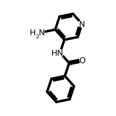 Nc1ccncc1NC(=O)c1ccccc1